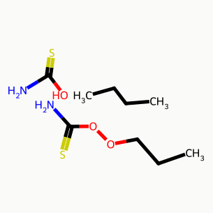 CCCC.CCCOOC(N)=S.NC(O)=S